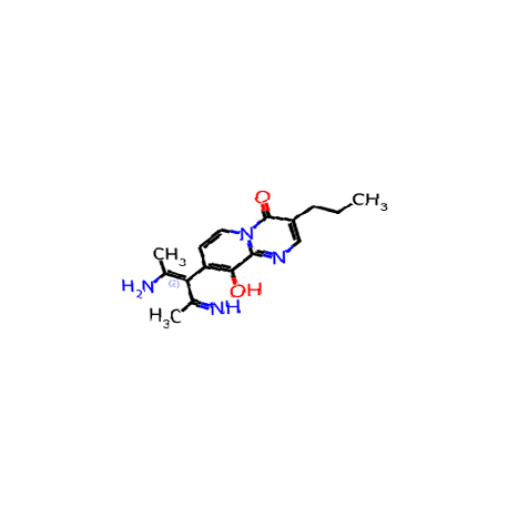 CCCc1cnc2c(O)c(/C(C(C)=N)=C(\C)N)ccn2c1=O